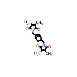 CC1=C(C)C(=O)N(CC2CC3CC2CC3CN2C(=O)C(C)=C(C)C2=O)C1=O